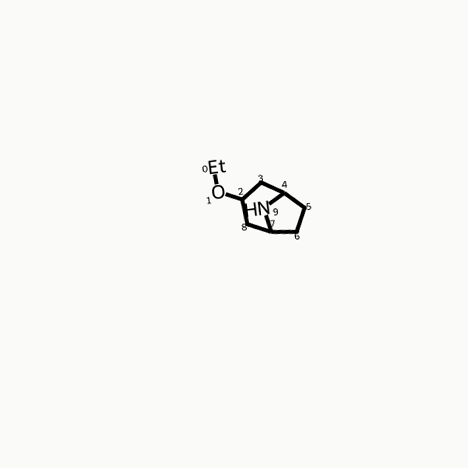 CCOC1CC2CCC(C1)N2